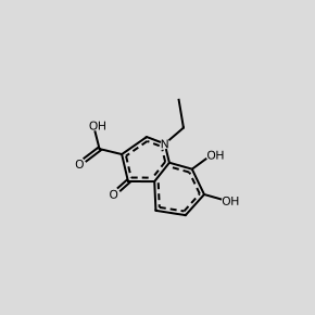 CCn1cc(C(=O)O)c(=O)c2ccc(O)c(O)c21